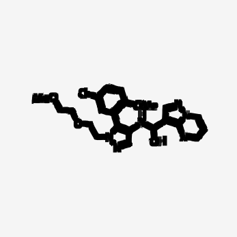 COCCOCCn1ncc(NC(O)c2cnn3cccnc23)c1-c1cc(Cl)ccc1OC